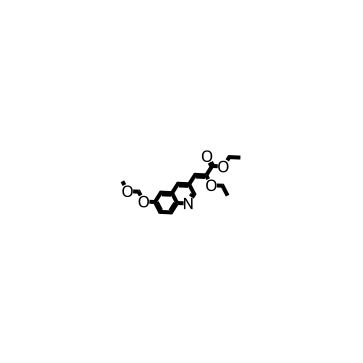 CCOC(=O)/C(=C/c1cnc2ccc(OCOC)cc2c1)OCC